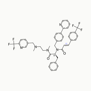 CN(CCN(C)C(=O)[C@H](Cc1ccccc1)N(Cc1ccc(-c2ccccn2)cc1)C(=O)/C=C/c1ccc(C(F)(F)F)cc1)Cc1ccc(C(F)(F)F)nc1